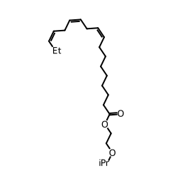 CC/C=C\C/C=C\C/C=C\CCCCCCCC(=O)OCCOC(C)C